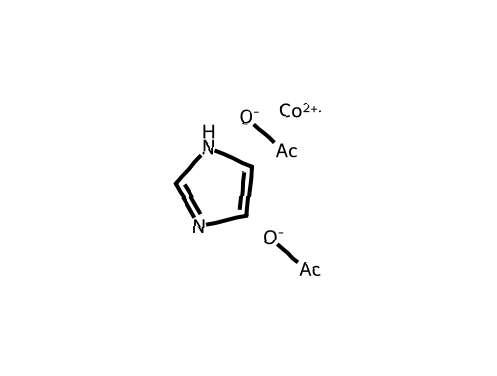 CC(=O)[O-].CC(=O)[O-].[Co+2].c1c[nH]cn1